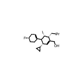 CC(C)C[C@@H]1C(CO)=C[C@H](C2CC2)C(C2=CC[C@H](F)CC2)[C@@H]1I